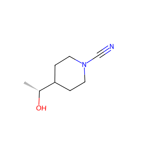 C[C@@H](O)C1CCN(C#N)CC1